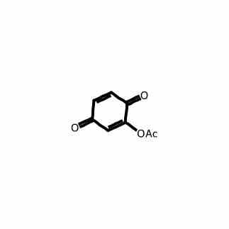 CC(=O)OC1=CC(=O)C=CC1=O